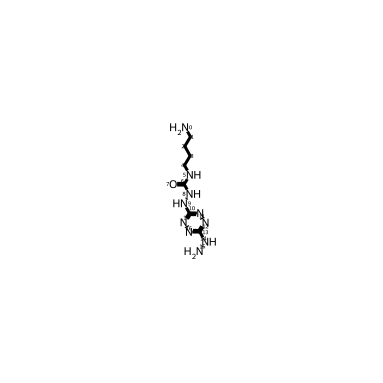 NCCCCNC(=O)NNc1nnc(NN)nn1